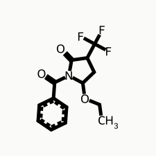 CCOC1CC(C(F)(F)F)C(=O)N1C(=O)c1ccccc1